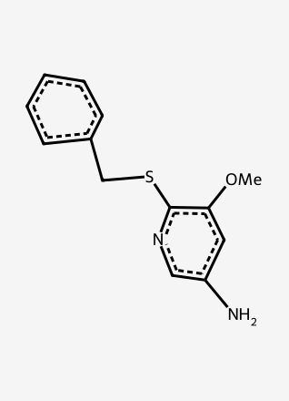 COc1cc(N)cnc1SCc1ccccc1